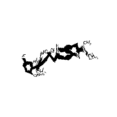 COc1ccc(F)cc1C(C)(C)CC(O)(Cc1cc2nc(N(C)C)ccc2[nH]1)C(F)(F)F